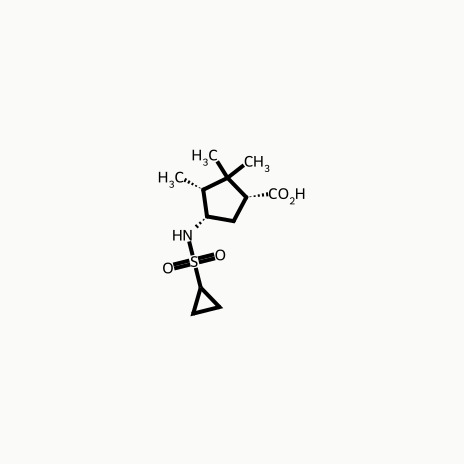 C[C@H]1[C@@H](NS(=O)(=O)C2CC2)C[C@@H](C(=O)O)C1(C)C